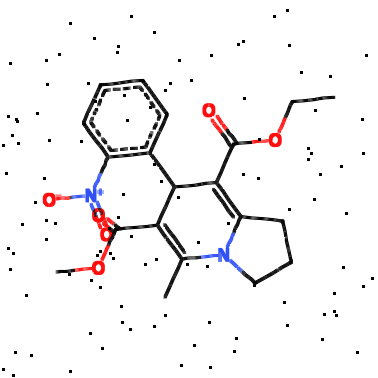 CCOC(=O)C1=C2CCCN2C(C)=C(C(=O)OC)C1c1ccccc1[N+](=O)[O-]